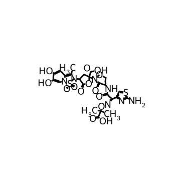 CC1=C2C=C(O)C(O)=CN2S(=O)(=O)N1C1CC(C(=O)O)(N2OC[C@H](NC(=O)/C(=N\OC(C)(C)C(=O)O)c3csc(N)n3)C2=O)OC1=O